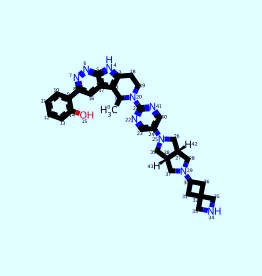 CC1c2c([nH]c3nnc(-c4ccccc4O)cc23)CCN1c1ncc(N2C[C@@H]3CN(C4CC5(CNC5)C4)C[C@@H]3C2)cn1